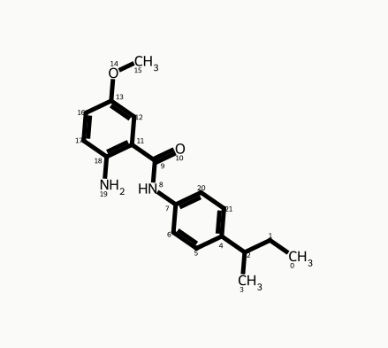 CCC(C)c1ccc(NC(=O)c2cc(OC)ccc2N)cc1